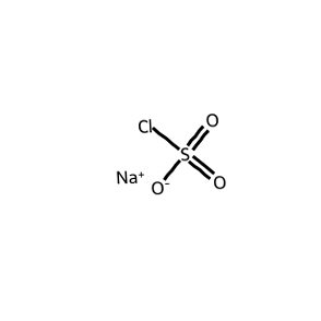 O=S(=O)([O-])Cl.[Na+]